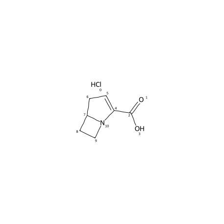 Cl.O=C(O)C1=CCC2CCN12